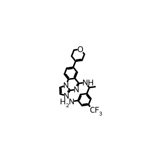 CC(Nc1nc2nccn2c2ccc(C3=CCOCC3)cc12)c1cc(N)cc(C(F)(F)F)c1